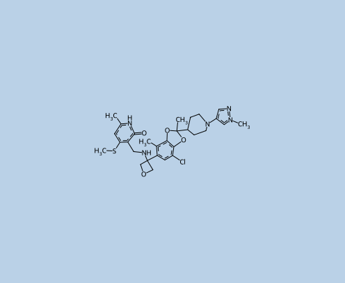 CSc1cc(C)[nH]c(=O)c1CNC1(c2cc(Cl)c3c(c2C)OC(C)(C2CCN(c4cnn(C)c4)CC2)O3)COC1